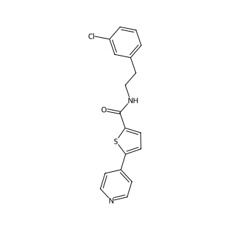 O=C(NCCc1cccc(Cl)c1)c1ccc(-c2ccncc2)s1